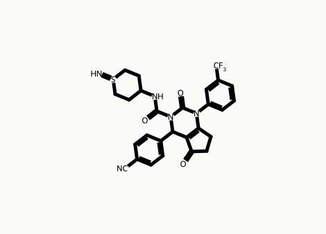 N#Cc1ccc(C2C3=C(CCC3=O)N(c3cccc(C(F)(F)F)c3)C(=O)N2C(=O)NC2CCS(=N)CC2)cc1